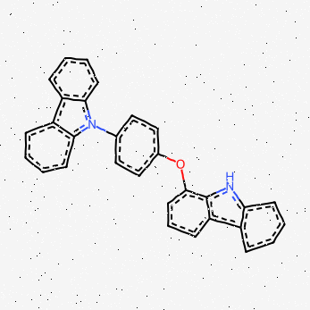 c1ccc2c(c1)[nH]c1c(Oc3ccc(-n4c5ccccc5c5ccccc54)cc3)cccc12